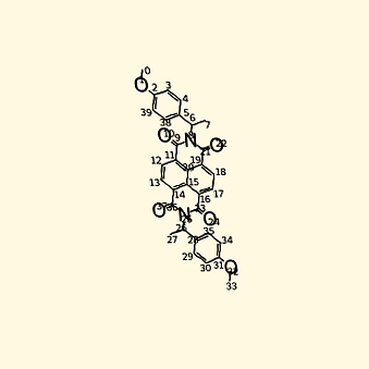 COc1ccc(C(C)N2C(=O)c3ccc4c5c(ccc(c35)C2=O)C(=O)N(C(C)c2ccc(OC)cc2)C4=O)cc1